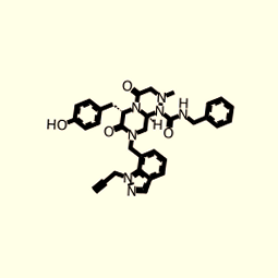 C#CCn1ncc2cccc(CN3C[C@H]4N(C(=O)CN(C)N4C(=O)NCc4ccccc4)[C@@H](Cc4ccc(O)cc4)C3=O)c21